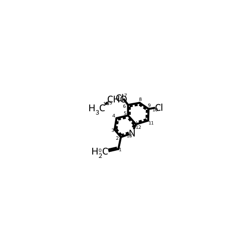 C=Cc1ccc2c(Cl)cc(Cl)cc2n1.CC=O